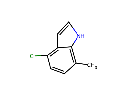 Cc1ccc(Cl)c2cc[nH]c12